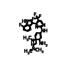 CNC1(CCN(C)C)C=CC(Nc2ncc(C(F)(F)F)c(-c3c[nH]c4c(F)cccc34)n2)=CC1N